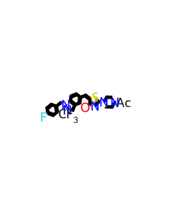 CC(=O)N1CCN(C2=NC(=O)C(=Cc3ccc4c(cnn4Cc4ccc(F)cc4C(F)(F)F)c3)S2)CC1